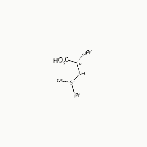 CC(C)[C@H](N[S+]([O-])C(C)C)C(=O)O